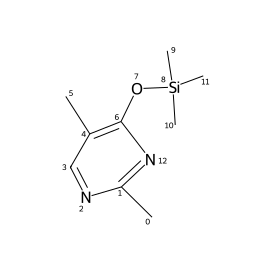 Cc1ncc(C)c(O[Si](C)(C)C)n1